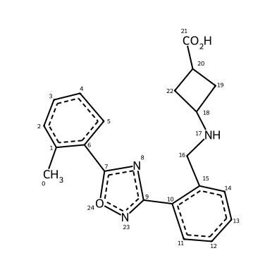 Cc1ccccc1-c1nc(-c2ccccc2CNC2CC(C(=O)O)C2)no1